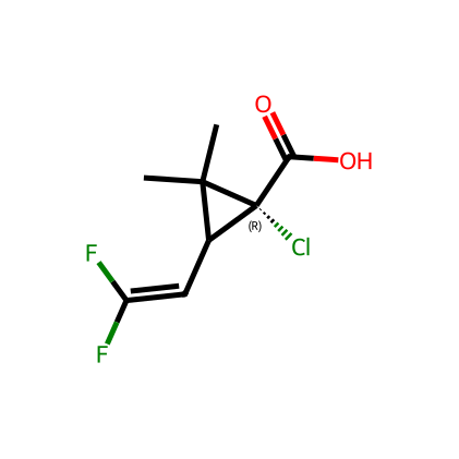 CC1(C)C(C=C(F)F)[C@]1(Cl)C(=O)O